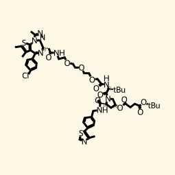 Cc1ncsc1-c1ccc(CNC(=O)[C@@H]2C[C@@H](OC(=O)CCC(=O)OC(C)(C)C)CN2C(=O)[C@@H](NC(=O)COCCOCCOCCNC(=O)C[C@@H]2N=C(c3ccc(Cl)cc3)c3c(sc(C)c3C)-n3c(C)nnc32)C(C)(C)C)cc1